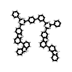 c1ccc(-c2nc(-c3cccc(-c4ccc(-c5nc(-c6ccccc6)nc(-c6ccc7c(c6)oc6c(-c8cccc9sc%10ccccc%10c89)cccc67)n5)cc4)c3)nc(-c3ccc4c(c3)oc3c(-c5ccc6sc7ccccc7c6c5)cccc34)n2)cc1